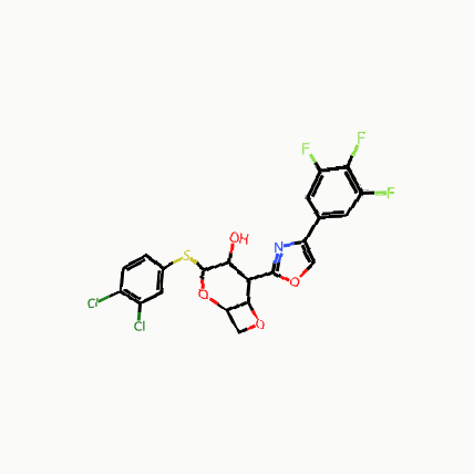 OC1C(Sc2ccc(Cl)c(Cl)c2)OC2COC2C1c1nc(-c2cc(F)c(F)c(F)c2)co1